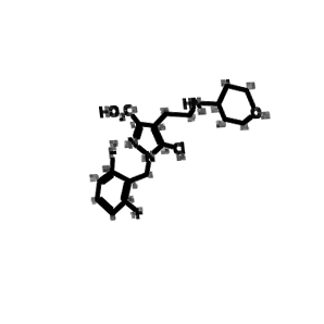 O=C(O)c1nn(Cc2c(F)cccc2F)c(Cl)c1CCNC1CCOCC1